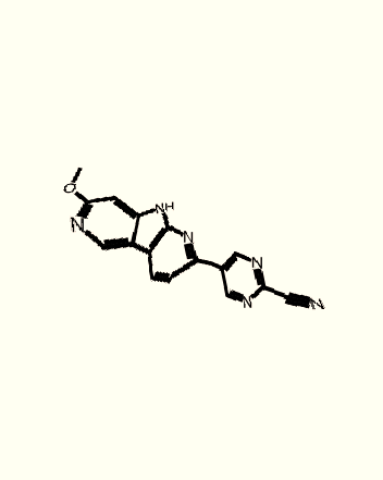 COc1cc2[nH]c3nc(-c4cnc(C#N)nc4)ccc3c2cn1